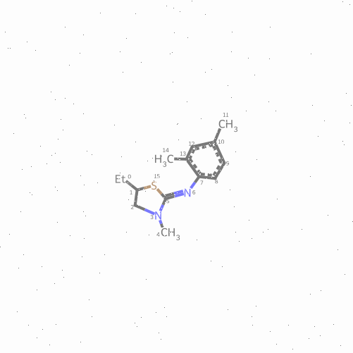 CCC1CN(C)C(=Nc2ccc(C)cc2C)S1